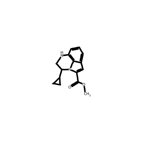 COC(=O)c1cc2cccc3c2n1C(C1CC1)CN3